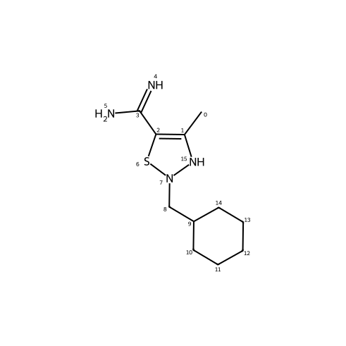 CC1=C(C(=N)N)SN(CC2CCCCC2)N1